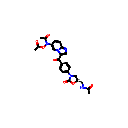 CC(=O)NC[C@H]1CN(c2ccc(C(=O)c3cnc4ccc(N(OC(C)=O)C(C)=O)cn34)cc2)C(=O)O1